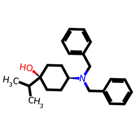 CC(C)[C@]1(O)CC[C@@H](N(Cc2ccccc2)Cc2ccccc2)CC1